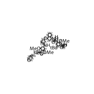 COc1cc(Nc2cc(Oc3ccc(NC(=O)Nc4cc(C(C)(C)C)cc(NS(C)(=O)=O)c4OC)c4ccccc34)ccn2)cc(OC)c1C(=O)NCCCCN1CCOCC1